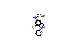 CONc1cc(Cl)c2c(cnn2C2CCCCO2)c1